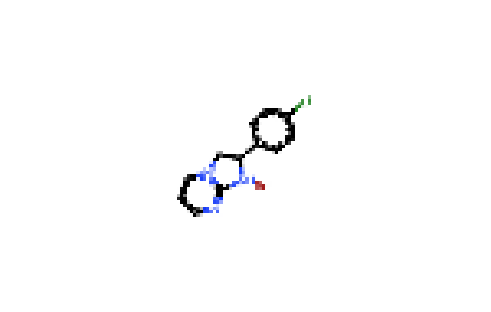 Clc1ccc(C2C[n+]3cccnc3N2)cc1.[Br-]